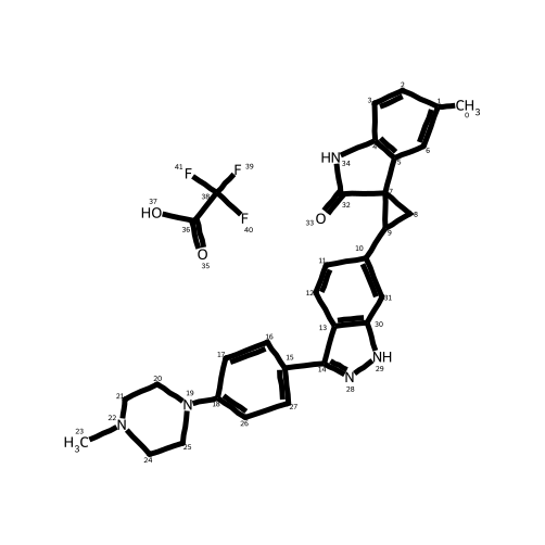 Cc1ccc2c(c1)C1(CC1c1ccc3c(-c4ccc(N5CCN(C)CC5)cc4)n[nH]c3c1)C(=O)N2.O=C(O)C(F)(F)F